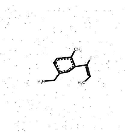 C/C=C(/F)c1cc(CN)ccc1C